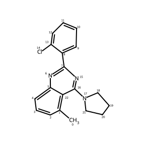 Cc1cccc2nc(-c3ccccc3Cl)nc(N3CCCC3)c12